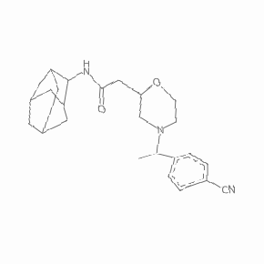 CC(c1ccc(C#N)cc1)N1CCOC(CC(=O)NC2C3CC4CC(C3)CC2C4)C1